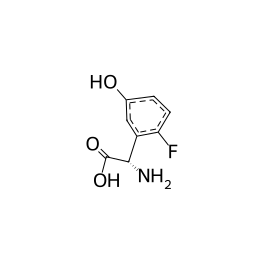 N[C@H](C(=O)O)c1cc(O)ccc1F